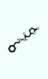 O=C(CC1CCC(=O)O1)NNCCc1ccccc1